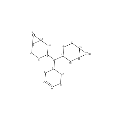 C1=CCC(C(C2CCC3OC3C2)C2CCC3OC3C2)CC1